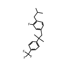 CC(C)Cc1ccc(CC(C)(C)c2ccc(C(F)(F)F)cc2)cc1F